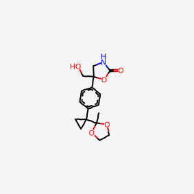 CC1(C2(c3ccc(C4(CO)CNC(=O)O4)cc3)CC2)OCCO1